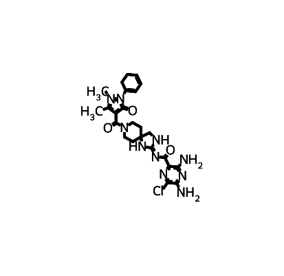 Cc1c(C(=O)N2CCC3(CC2)CN/C(=N\C(=O)c2nc(Cl)c(N)nc2N)N3)c(=O)n(C2=CC=CCC2)n1C